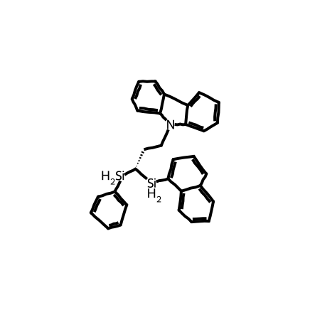 c1ccc([SiH2][C@H](CCn2c3ccccc3c3ccccc32)[SiH2]c2cccc3ccccc23)cc1